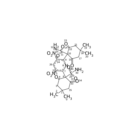 CC1(C)CC(=O)C(c2nc(C3(S(N)(=O)=O)C(=O)CC(C)(C)CC3=O)c([N+](=O)[O-])cc2[N+](=O)[O-])(S(N)(=O)=O)C(=O)C1